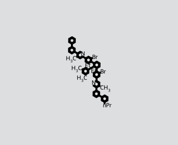 CCCc1cccc(-c2cccc(-c3cnc(-c4ccc(-c5cccc(-c6ccc(-c7cc(C)c(-c8cccc(-c9ccccc9)c8)cn7)cc6Br)c5C(CC)(CC)c5cc(C)cc(C)c5)c(Br)c4)cc3C)c2)c1